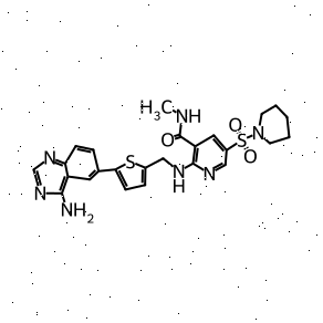 CNC(=O)c1cc(S(=O)(=O)N2CCCCC2)cnc1NCc1ccc(-c2ccc3ncnc(N)c3c2)s1